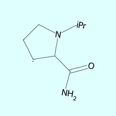 CC(C)N1CC[CH]C1C(N)=O